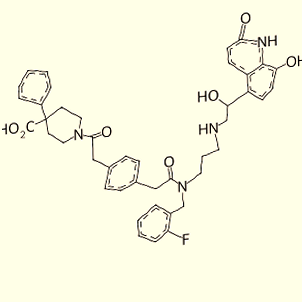 O=C(Cc1ccc(CC(=O)N(CCCNCC(O)c2ccc(O)c3[nH]c(=O)ccc23)Cc2ccccc2F)cc1)N1CCC(C(=O)O)(c2ccccc2)CC1